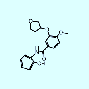 COc1ccc(C(=O)Nc2ccccc2O)cc1OC1CCOC1